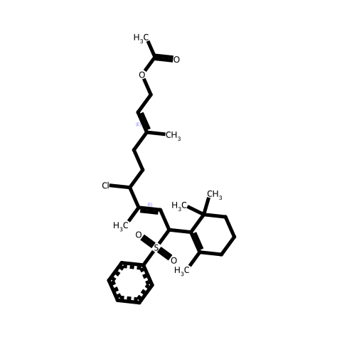 CC(=O)OC/C=C(\C)CCC(Cl)/C(C)=C/C(C1=C(C)CCCC1(C)C)S(=O)(=O)c1ccccc1